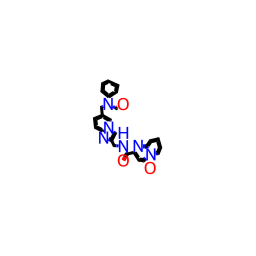 O=CN(Cc1ccc2nc(CNC(=O)c3cc(=O)n4ccccc4n3)cn2c1)c1ccccc1